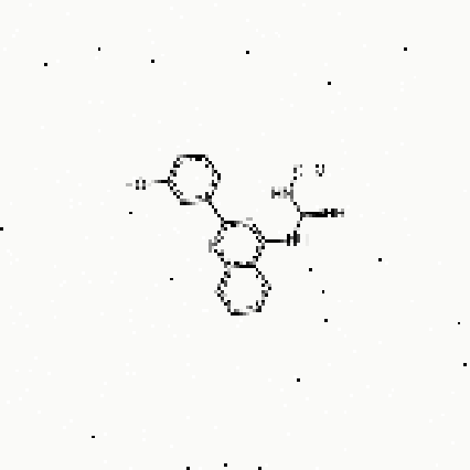 N=C(NC=O)Nc1cc(-c2cccc(O)c2)nc2ccccc12